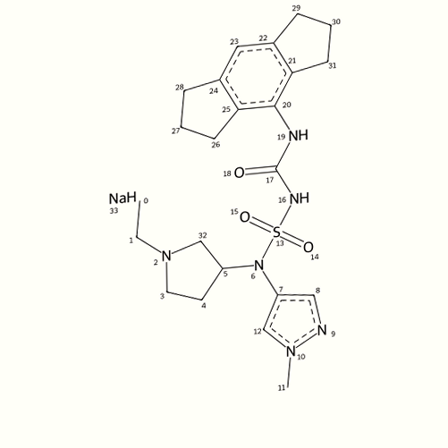 CCN1CCC(N(c2cnn(C)c2)S(=O)(=O)NC(=O)Nc2c3c(cc4c2CCC4)CCC3)C1.[NaH]